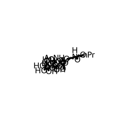 CCCOCCC(=O)NCCCO[C@@H]1OC(CO)[C@@H](O[C@@H]2OC(CO)[C@H](O)C(O[C@H]3OC(CO)[C@H](O)C(O)C3O)C2O)C(O)C1NC(C)=O